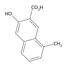 Cc1cccc2cc(O)c(C(=O)O)cc12